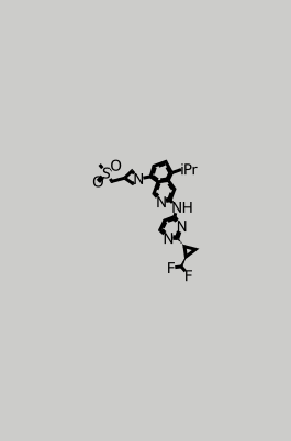 CC(C)c1ccc(N2CC(CS(C)(=O)=O)C2)c2cnc(Nc3ccnc([C@@H]4C[C@H]4C(F)F)n3)cc12